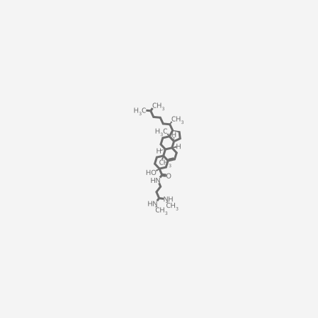 CN[C](CCNC(=O)[C@]1(O)CC[C@@]2(C)C(=CC[C@H]3[C@@H]4CC[C@H]([C@H](C)CCCC(C)C)[C@@]4(C)CC[C@@H]32)C1)NC